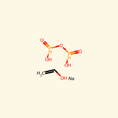 C=CO.O=[PH](O)O[PH](=O)O.[Na]